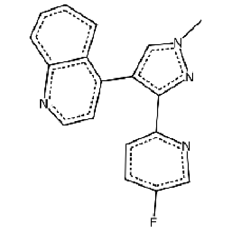 Cn1cc(-c2ccnc3ccccc23)c(-c2ccc(F)cn2)n1